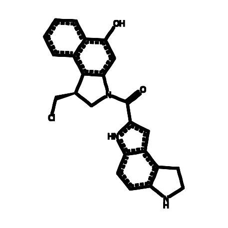 O=C(c1cc2c3c(ccc2[nH]1)NCC3)N1C[C@@H](CCl)c2c1cc(O)c1ccccc21